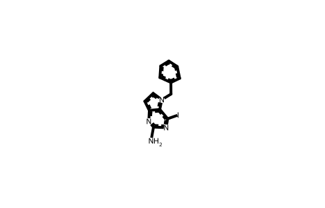 Nc1nc(I)c2c(ccn2Cc2ccccc2)n1